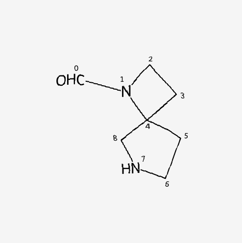 O=CN1CCC12CCNC2